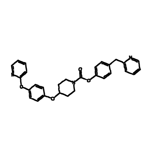 O=C(Oc1ccc(Cc2ccccn2)cc1)N1CCC(Oc2ccc(Oc3ccccn3)cc2)CC1